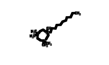 CCCCCCCCCCC[N+]1(C)CC[N+](C)(C)CC[N+](C)(C)CC1